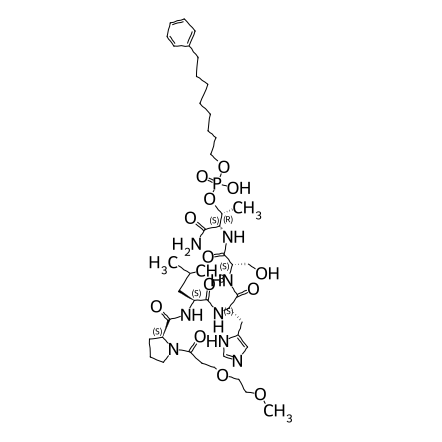 COCCOCCC(=O)N1CCC[C@H]1C(=O)N[C@@H](CC(C)C)C(=O)N[C@@H](Cc1cnc[nH]1)C(=O)N[C@@H](CO)C(=O)N[C@H](C(N)=O)[C@@H](C)OP(=O)(O)OCCCCCCCCc1ccccc1